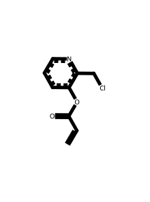 C=CC(=O)Oc1cccnc1CCl